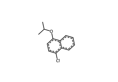 CC(C)Oc1ccc(Cl)c2ccccc12